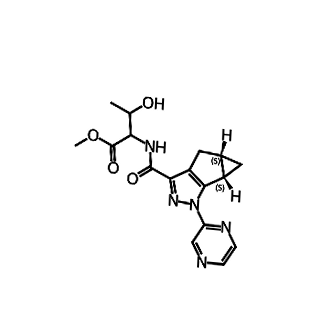 COC(=O)C(NC(=O)c1nn(-c2cnccn2)c2c1C[C@@H]1C[C@H]21)C(C)O